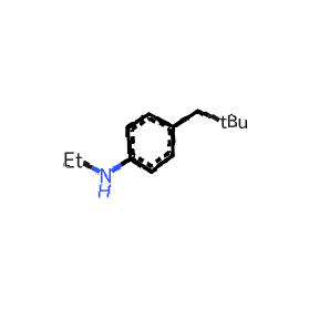 CCNc1ccc(CC(C)(C)C)cc1